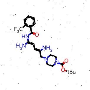 CC(C)(C)OC(=O)N1CCN(C/C(N)=C/C=C(\N)NC(=O)c2ccccc2C(F)(F)F)CC1